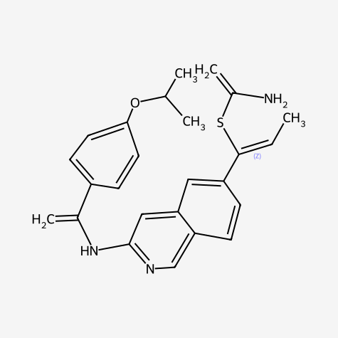 C=C(N)S/C(=C\C)c1ccc2cnc(NC(=C)c3ccc(OC(C)C)cc3)cc2c1